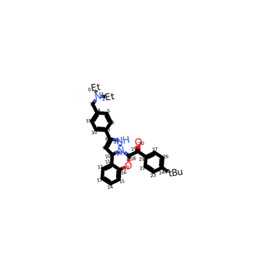 CCN(CC)Cc1ccc(C2=CC3c4ccccc4OC(C(=O)c4ccc(C(C)(C)C)cc4)N3N2)cc1